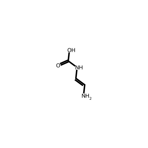 NC=CNC(=O)O